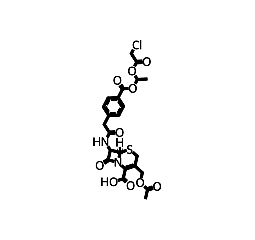 CC(=O)OCC1=C(C(=O)O)N2C(=O)C(NC(=O)Cc3ccc(C(=O)OC(C)OC(=O)CCl)cc3)[C@@H]2SC1